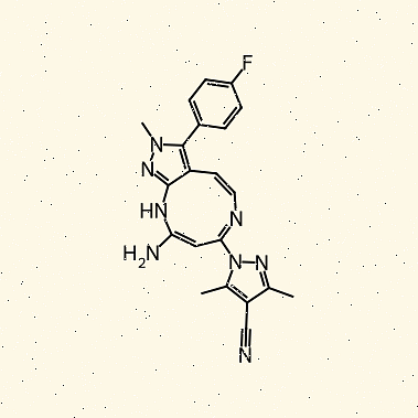 Cc1nn(-c2cc(N)[nH]c3nn(C)c(-c4ccc(F)cc4)c3ccn2)c(C)c1C#N